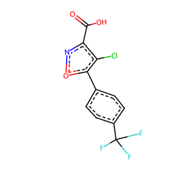 O=C(O)c1noc(-c2ccc(C(F)(F)F)cc2)c1Cl